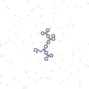 C=c1cccc/c1=C/C=C\CN(c1ccc(-c2ccc(N(c3ccc(N(c4ccccc4)c4ccccc4)cc3)c3cccc4ccccc34)cc2)cc1)c1ccc(N(c2ccccc2)c2ccccc2)cc1